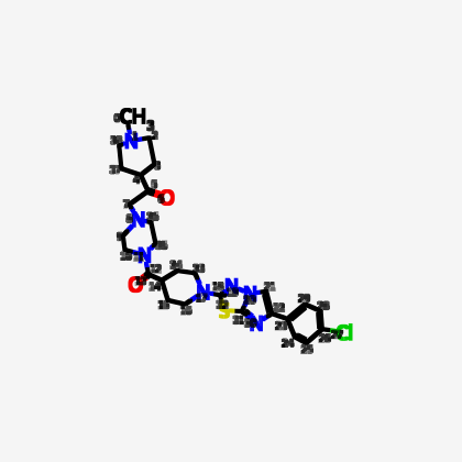 CN1CCC(C(=O)CN2CCN(C(=O)C3CCN(c4nn5cc(-c6ccc(Cl)cc6)nc5s4)CC3)CC2)CC1